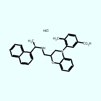 Cc1ccc(C(=O)O)cc1N1CC(CN[C@H](C)c2cccc3ccccc23)Oc2ccccc21.Cl